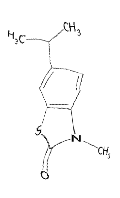 CC(C)c1ccc2c(c1)sc(=O)n2C